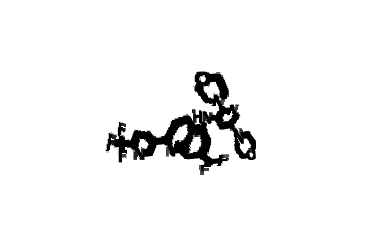 FC(F)c1cc(Nc2cc(N3CCOCC3)cnc2N2CCOCC2)c2ccc(-c3ccc(C(F)(F)F)nc3)nc2c1